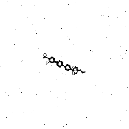 CCCC12COC(c3ccc(-c4ccc(-c5ccc(C6CO6)c(F)c5)cc4)cc3)(OC1)O2